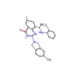 Cc1cc(C(C)Nc2ccccc2C(=O)O)c2nc(N3Cc4ccc(C#N)cc4C3)n(C)c(=O)c2c1